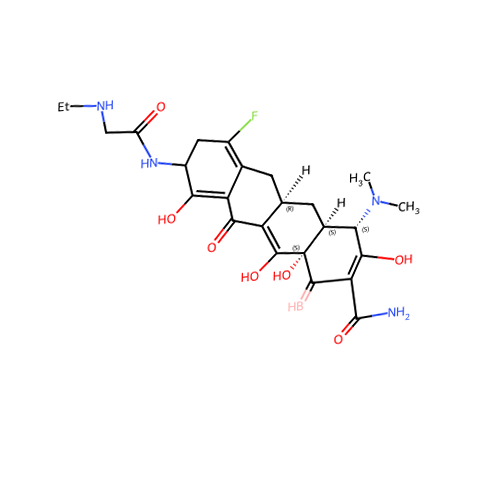 B=C1C(C(N)=O)=C(O)[C@@H](N(C)C)[C@@H]2C[C@@H]3CC4=C(F)CC(NC(=O)CNCC)C(O)=C4C(=O)C3=C(O)[C@]12O